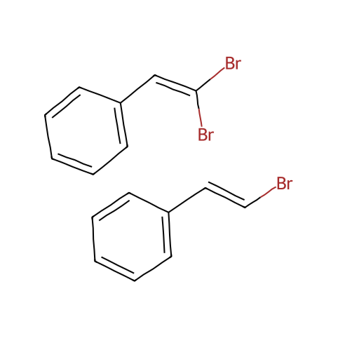 BrC(Br)=Cc1ccccc1.BrC=Cc1ccccc1